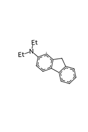 CCN(CC)c1[c]c2c(cc1)-c1ccccc1C2